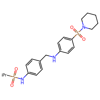 CC(C)S(=O)(=O)Nc1ccc(CNc2ccc(S(=O)(=O)N3CCCCC3)cc2)cc1